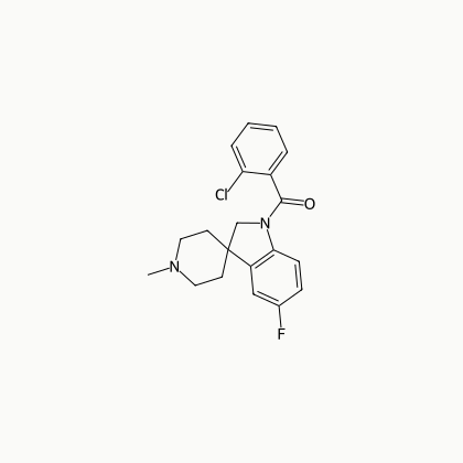 CN1CCC2(CC1)CN(C(=O)c1ccccc1Cl)c1ccc(F)cc12